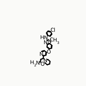 Cn1c(Nc2ccc(Cl)cc2)nc2cc(Oc3ccnc(C(CC(N)=O)N4CCCCC4)c3)ccc21